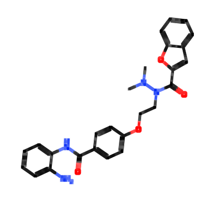 CN(C)N(CCOc1ccc(C(=O)Nc2ccccc2N)cc1)C(=O)c1cc2ccccc2o1